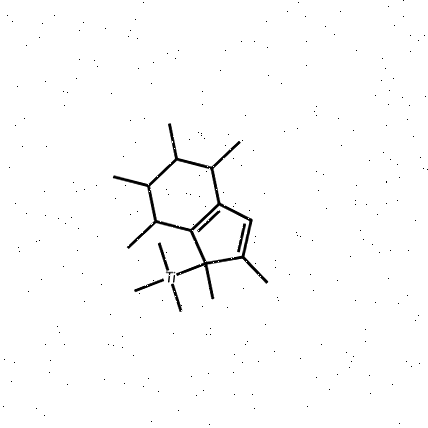 CC1=CC2=C(C(C)C(C)C(C)C2C)[C]1(C)[Ti]([CH3])([CH3])[CH3]